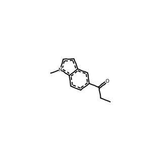 CCC(=O)c1ccc2c(ccn2C)c1